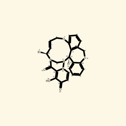 CC[C@H]1/C=C/COc2cccc3c2[C@@H](c2ccccc2SC3)N2CN1C(=O)c1c(O)c(=O)ccn12